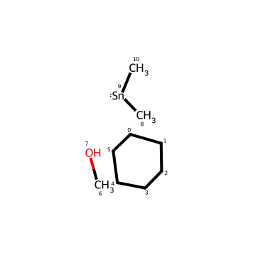 C1CCCCC1.CO.[CH3][Sn][CH3]